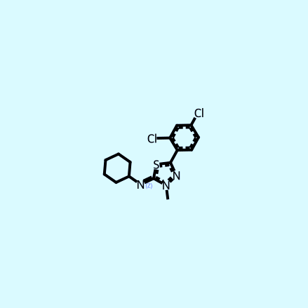 Cn1nc(-c2ccc(Cl)cc2Cl)s/c1=N\C1CCCCC1